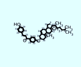 CC(C)CCC[C@@H](C)[C@H]1CCC2C3CC=C4CC(Oc5ccc(C(=O)C=Cc6ccc(O)cc6)cc5)CC[C@]4(C)C3CC[C@@]21C